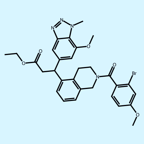 CCOC(=O)CC(c1cc(OC)c2c(c1)nnn2C)c1cccc2c1CCN(C(=O)c1ccc(OC)cc1Br)C2